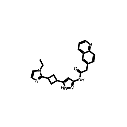 CCn1ccnc1C1CC(c2cc(NC(=O)Cc3ccc4ncccc4c3)n[nH]2)C1